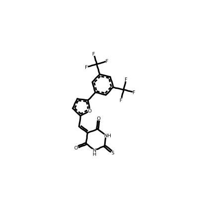 O=C1NC(=S)NC(=O)C1=Cc1ccc(-c2cc(C(F)(F)F)cc(C(F)(F)F)c2)o1